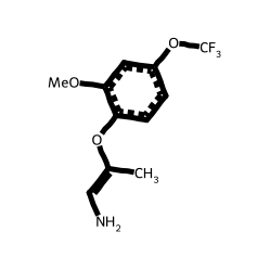 COc1cc(OC(F)(F)F)ccc1O/C(C)=C/N